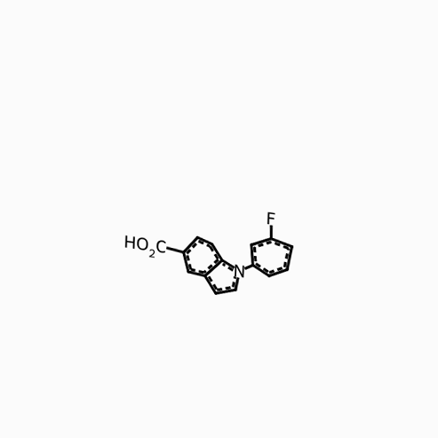 O=C(O)c1ccc2c(ccn2-c2cccc(F)c2)c1